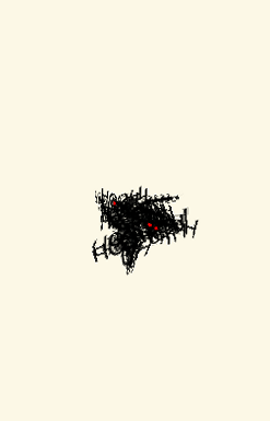 CCCCCCCCCCCCCCC(CO[C@H](O)/C(O)=C(/O)[C@H](O)CCO)(CO[C@H](O)/C(O)=C(\O)[C@H](O)CCO)Cc1cc(C[C@](CCC)(CO[C@@H]2OC(CO)[C@@H](O)C(O)C2O)CO[C@H](O)/C(O)=C(\O)[C@H](O)CCO)cc(C(CCCCCCCCCCC)C(CCCCCCCCCCCCCC)(CO[C@H](O)/C(O)=C(/O)[C@H](O)CCO)CO[C@H](O)/C(O)=C(\O)[C@H](O)CCO)c1